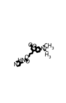 CCN(CC)c1ccc2c(CCCOC(=O)NCc3ccncc3)cc(=O)oc2c1